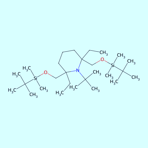 CCC1(CO[Si](C)(C)C(C)(C)C)CCCC(CC)(CO[Si](C)(C)C(C)(C)C)N1C(C)(C)C